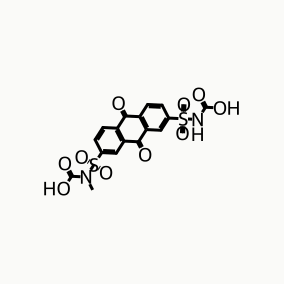 CN(C(=O)O)S(=O)(=O)c1ccc2c(c1)C(=O)c1cc(S(=O)(=O)NC(=O)O)ccc1C2=O